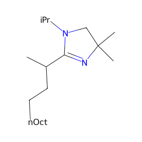 CCCCCCCCCCC(C)C1=NC(C)(C)CN1C(C)C